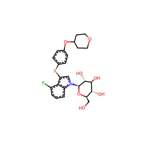 OC[C@H]1O[C@@H](n2cc(Sc3ccc(OC4CCOCC4)cc3)c3c(F)cccc32)[C@H](O)[C@@H](O)[C@@H]1O